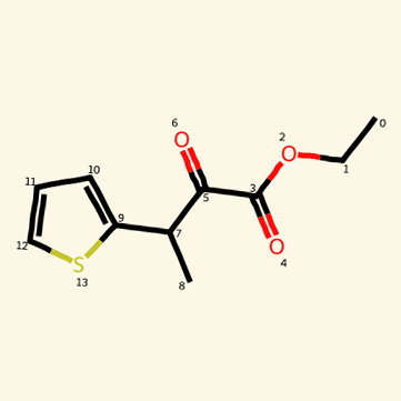 CCOC(=O)C(=O)C(C)c1cccs1